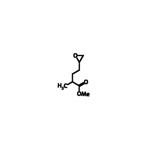 COC(=O)C(C)CCC1CO1